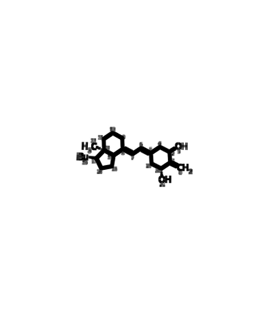 C=C1C(O)C/C(=C/C=C2\CCC[C@@]3(C)C2CCC3[C@H](C)CC)C[C@H]1O